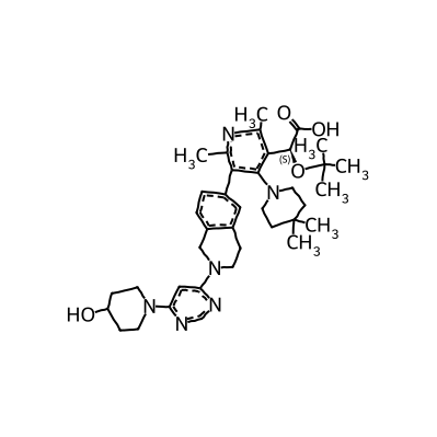 Cc1nc(C)c([C@H](OC(C)(C)C)C(=O)O)c(N2CCC(C)(C)CC2)c1-c1ccc2c(c1)CCN(c1cc(N3CCC(O)CC3)ncn1)C2